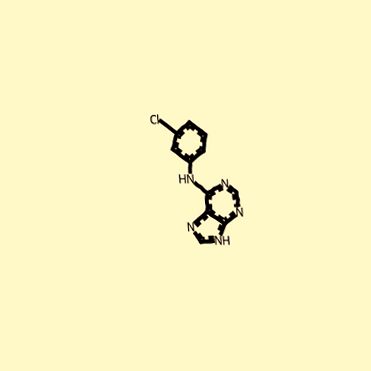 Clc1cccc(Nc2ncnc3[nH]cnc23)c1